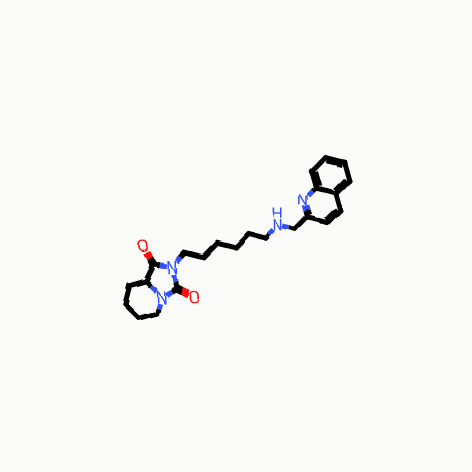 O=C1C2CCCCN2C(=O)N1CCCCCCNCc1ccc2ccccc2n1